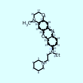 CC/[N+](CCN1CCCCC1)=c1\ccc2nc3cc4c(cc3oc-2c1)N(C)CCO4